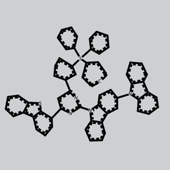 c1ccc(S(c2ccccc2)(c2ccccc2)c2cccc(-c3cc(-c4cccc5c4sc4ccccc45)nc(-n4c5ccccc5c5cc(-n6c7ccccc7c7ccccc76)ccc54)n3)c2)cc1